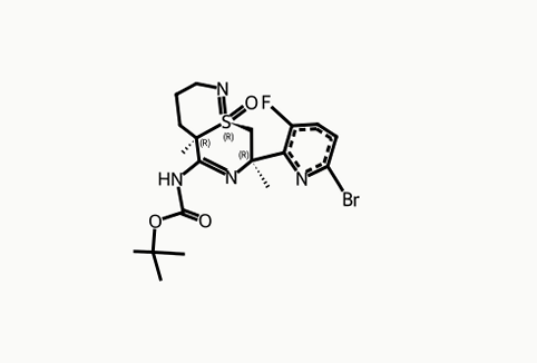 CC(C)(C)OC(=O)NC1=N[C@](C)(c2nc(Br)ccc2F)C[S@]2(=O)=NCCC[C@]12C